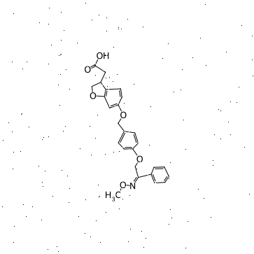 CO/N=C(\COc1ccc(COc2ccc3c(c2)OCC3CC(=O)O)cc1)c1ccccc1